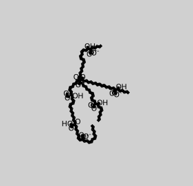 CCCCC/C=C\C/C=C\CCC(/C=C\CCCCCC(C(=O)O)C(=O)CCCCCC/C=C\C=C/CC(O)C(C/C=C\CCCCC(C(=O)CCCCCCC=CC=CCC=CCC(C(O)CCCCC)[N+](=O)[O-])(C(=O)CCCCCC/C=C\C=C/C/C=C\CC(O)C(CCCCC)[N+](=O)[O-])C(=O)CCCCCC/C=C\C=C/CC(C(O)C/C=C\CCCCC)[N+](=O)[O-])[N+](=O)[O-])[N+](=O)[O-]